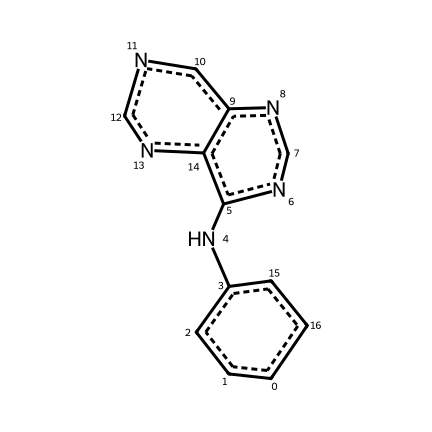 c1ccc(Nc2ncnc3cncnc23)cc1